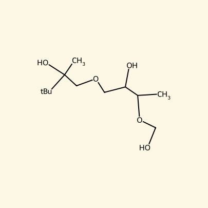 CC(OCO)C(O)COCC(C)(O)C(C)(C)C